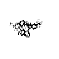 N[C@@H]1CCC(F)C[C@@H]1Nc1ncc2cncc(-c3c[nH]c4cc(C(F)(F)F)ccc34)c2n1